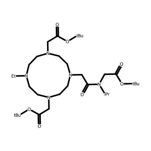 CCN1CCN(CC(=O)OC(C)(C)C)CCN(CC(=O)N(CC(=O)OC(C)(C)C)C(C)C)CCN(CC(=O)OC(C)(C)C)CC1